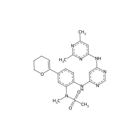 Cc1cc(Nc2cc(Nc3ccc(C4=CCCCO4)cc3N(C)S(C)(=O)=O)ncn2)nc(C)n1